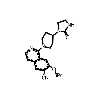 CC(C)Oc1cc2c(N3CCC(N4CCNC4=O)CC3)nccc2cc1C#N